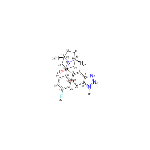 Cn1nnc2cc(C(=O)N3[C@@H]4CC[C@H]3C[C@@H](c3ccc(F)cc3)C4)ccc21